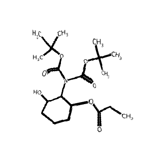 CCC(=O)OC1CCCC(O)C1N(C(=O)OC(C)(C)C)C(=O)OC(C)(C)C